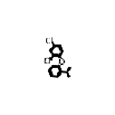 CC(C)c1ccccc1Oc1ccc(Cl)cc1Cl